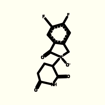 O=C1CCC([N+]2([O-])Cc3cc(F)c(F)cc3C2=O)C(=O)N1